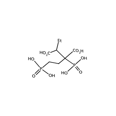 CCC(C(=O)O)C(CCP(=O)(O)O)(C(=O)O)P(=O)(O)O